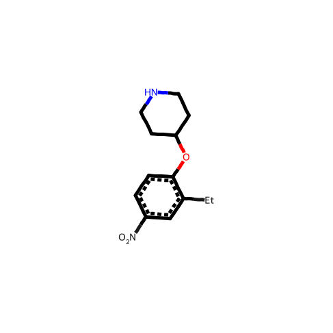 CCc1cc([N+](=O)[O-])ccc1OC1CCNCC1